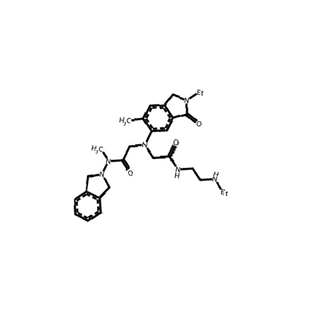 CCNCCNC(=O)CN(CC(=O)N(C)N1Cc2ccccc2C1)c1cc2c(cc1C)CN(CC)C2=O